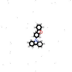 C1=Cc2c(n(-c3ccc4c(c3)oc3ccccc34)c3ccccc23)CC1